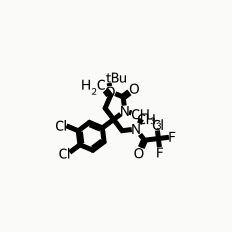 C=CCC(CN(C)C(=O)C(F)(F)Cl)(c1ccc(Cl)c(Cl)c1)N(C)C(=O)OC(C)(C)C